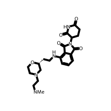 CNCCN1CCO[C@H](CCNc2cccc3c2C(=O)N(C2CCC(=O)NC2=O)C3=O)C1